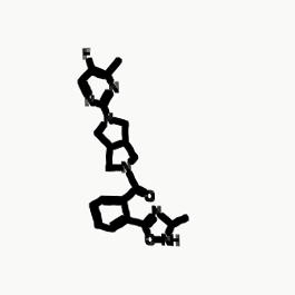 Cc1nc(N2CC3CN(C(=O)c4ccccc4C4=NC(C)NO4)CC3C2)ncc1F